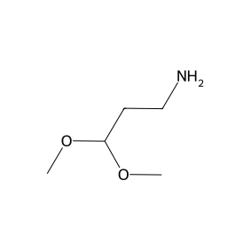 COC(CCN)OC